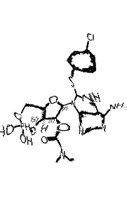 CN(C)C(=O)O[C@@H]1[C@H](N2c3ncnc(N)c3NC2Sc2ccc(Cl)cc2)OC2CO[PH](O)(O)O[C@@H]21